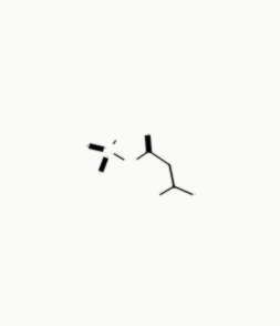 O=C(CC(F)F)OS(=O)(=O)F